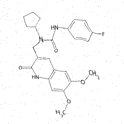 COc1cc2cc(CN(C(=O)Nc3ccc(F)cc3)C3CCCC3)c(=O)[nH]c2cc1OC